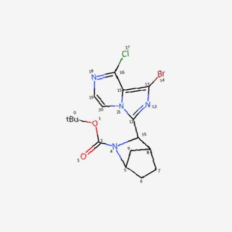 CC(C)(C)OC(=O)N1C2CCC(C2)C1c1nc(Br)c2c(Cl)nccn12